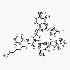 C=CCCCCC[C@H](Nc1cccc(F)c1)C(=O)N1C[C@H](Oc2nc(-c3nc(C(C)C)cs3)nc3c(C)c(OC)ccc23)C[C@H]1C(=O)N[C@]1(C(=O)NS(=O)(=O)C2(C)CC2)C[C@H]1C=C